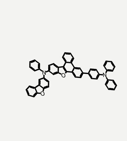 c1ccc(N(c2ccccc2)c2ccc(-c3ccc4c(c3)c3ccccc3c3c5ccc(N(c6ccccc6)c6ccc7oc8ccccc8c7c6)cc5oc43)cc2)cc1